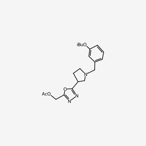 CC(=O)OCc1nnc(C2CCN(Cc3cccc(OCC(C)C)c3)C2)o1